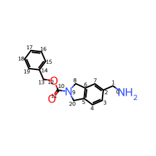 NCc1ccc2c(c1)CN(C(=O)OCc1ccccc1)C2